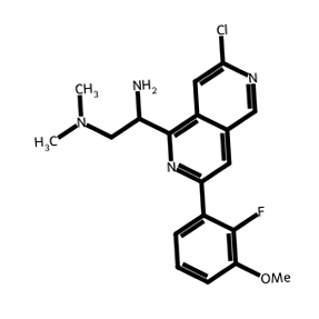 COc1cccc(-c2cc3cnc(Cl)cc3c(C(N)CN(C)C)n2)c1F